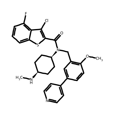 CN[C@H]1CC[C@@H](N(Cc2cc(-c3ccncc3)ccc2OC)C(=O)c2sc3cccc(F)c3c2Cl)CC1